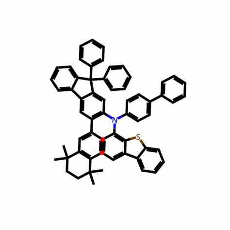 CC1(C)CCC(C)(C)c2cc(-c3cc4c(cc3N(c3ccc(-c5ccccc5)cc3)c3cccc5c3sc3ccccc35)C(c3ccccc3)(c3ccccc3)c3ccccc3-4)ccc21